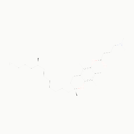 Cc1c(C)c2c(c(C)c1OC(=O)CCCN(C)C)CC[C@@](C)(CCC[C@H](C)CCC[C@H](C)CCCC(C)C)O2